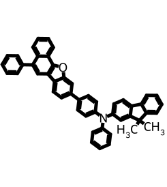 CC1(C)c2ccccc2-c2ccc(N(c3ccccc3)c3ccc(-c4ccc5c(c4)oc4c6ccccc6c(-c6ccccc6)cc54)cc3)cc21